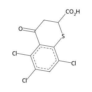 O=C1CC(C(=O)O)Sc2c(Cl)cc(Cl)c(Cl)c21